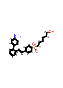 Nc1ccc(-c2ccccc2C=Cc2ccc(S(=O)(=O)CCCCCCO)cc2)cc1